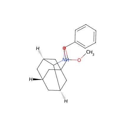 COC(=O)C12C[C@@H]3C[C@H](C1)C(NCc1ccccc1)[C@@H](C3)C2